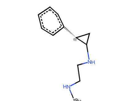 CC(C)(C)NCCNC1C[C@H]1c1ccccc1